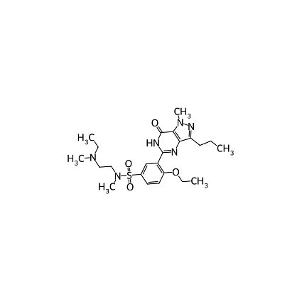 CCCc1nn(C)c2c(=O)[nH]c(-c3cc(S(=O)(=O)N(C)CCN(C)CC)ccc3OCC)nc12